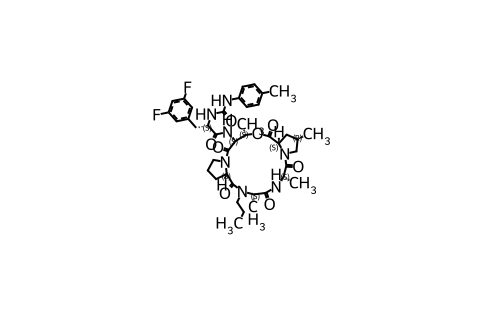 CCCN1C(=O)[C@@H]2CCCN2C(=O)[C@@H](NC(=O)[C@H](Cc2cc(F)cc(F)c2)NC(=O)Nc2ccc(C)cc2)[C@H](C)OC(=O)[C@@H]2C[C@@H](C)CN2C(=O)[C@H](C)NC(=O)[C@@H]1C